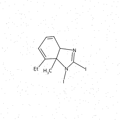 CCC1=CC=CC2N=C(I)N(I)C12C